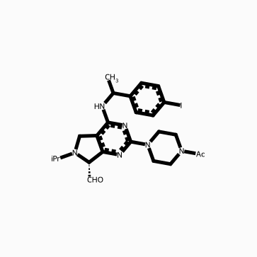 CC(=O)N1CCN(c2nc(NC(C)c3ccc(I)cc3)c3c(n2)[C@H](C=O)N(C(C)C)C3)CC1